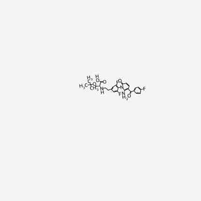 CC(C)(C)OC[C@H](NCCc1cc(F)c(-n2c(N)c(C(=O)c3ccc(F)cc3)ccc2=O)c(F)c1)C(=O)O